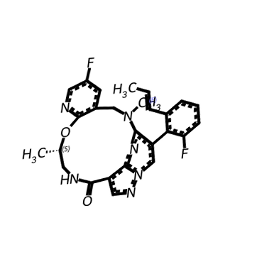 C/C=C/c1cccc(F)c1-c1cn2ncc3c2nc1N(C)Cc1cc(F)cnc1O[C@@H](C)CNC3=O